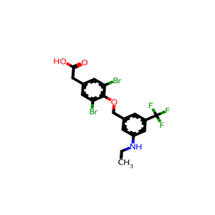 CCNc1cc(COc2c(Br)cc(CC(=O)O)cc2Br)cc(C(F)(F)F)c1